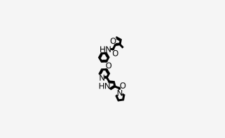 Cc1ccoc1C(=O)Nc1cccc(Oc2ccnc(-c3cc(C(=O)N4CCCC4)c[nH]3)c2)c1